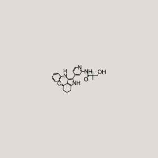 CC(C)(CO)C(=O)Nc1cc(-c2[nH]c3c(c2Nc2ccccc2)C(=O)CCC3)ccn1